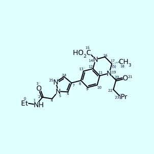 CCNC(=O)Cn1cc(-c2ccc3c(c2)N(C(=O)O)C[C@H](C)N3C(=O)CC(C)C)cn1